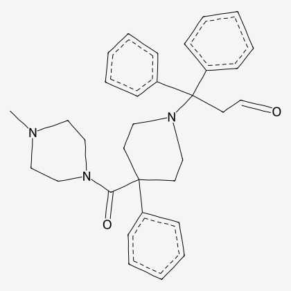 CN1CCN(C(=O)C2(c3ccccc3)CCN(C(CC=O)(c3ccccc3)c3ccccc3)CC2)CC1